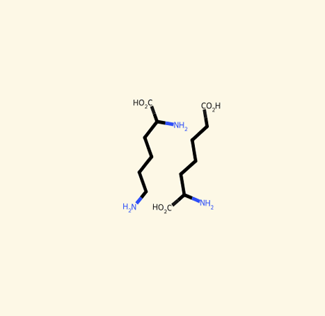 NC(CCCCC(=O)O)C(=O)O.NCCCCC(N)C(=O)O